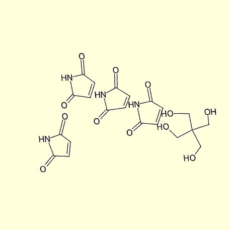 O=C1C=CC(=O)N1.O=C1C=CC(=O)N1.O=C1C=CC(=O)N1.O=C1C=CC(=O)N1.OCC(CO)(CO)CO